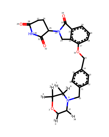 [2H]C1OC([2H])([2H])C([2H])([2H])N(Cc2ccc(COc3cccc4c3CN(C3CCC(=O)NC3=O)C4=O)cc2)C1[2H]